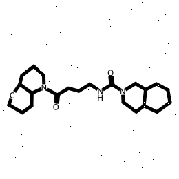 O=C(NCCCC(=O)N1CCCC2CCCCC21)N1CCC2CCCCC2C1